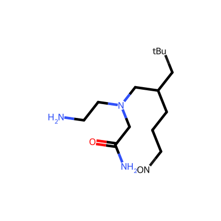 CC(C)(C)CC(CCCN=O)CN(CCN)CC(N)=O